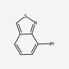 CC(C)c1cccc2csnc12